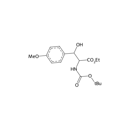 CCOC(=O)C(NC(=O)OC(C)(C)C)C(O)c1ccc(OC)cc1